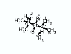 C[PH](C)(C)[Pt]([Br])([Br])[PH](C)(C)C